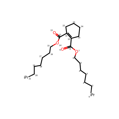 CC(C)CCCCCCOC(=O)C1=C(C(=O)OCCCCCCC(C)C)CCCC1